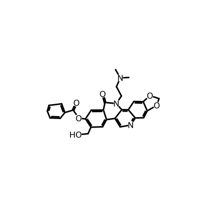 CN(C)CCn1c(=O)c2cc(OC(=O)c3ccccc3)c(CO)cc2c2cnc3cc4c(cc3c21)OCO4